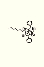 CCCCCCCCOP(=O)(C(Br)C(Br)c1ccccc1)C(Br)C(Br)c1ccccc1